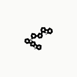 c1cc(-c2cccc(-n3c4ccccc4c4cc5sc6ccccc6c5cc43)c2)cc(-c2cccc3c2sc2ccccc23)c1